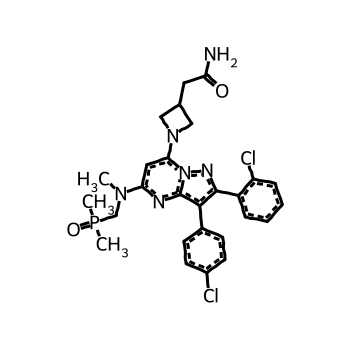 CN(CP(C)(C)=O)c1cc(N2CC(CC(N)=O)C2)n2nc(-c3ccccc3Cl)c(-c3ccc(Cl)cc3)c2n1